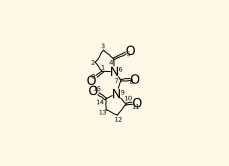 O=C1CCC(=O)N1C(=O)N1C(=O)CCC1=O